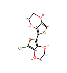 Clc1sc(-c2scc3c2OCCO3)c2c1OCCO2